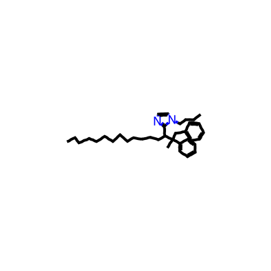 CCCCCCCCCCCCCC(c1nccn1CCCC)C(C)(Cc1ccccc1)c1ccccc1